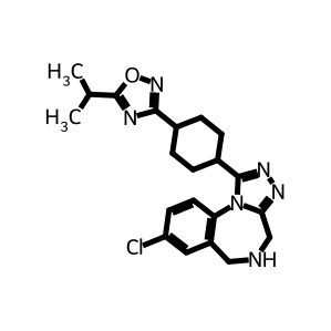 CC(C)c1nc(C2CCC(c3nnc4n3-c3ccc(Cl)cc3CNC4)CC2)no1